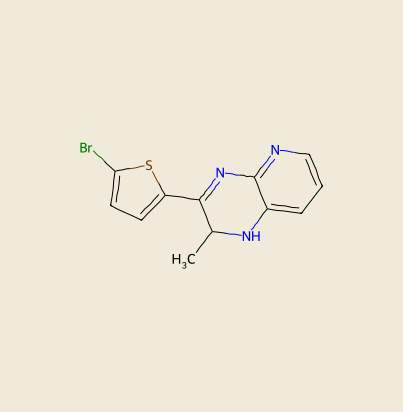 CC1Nc2cccnc2N=C1c1ccc(Br)s1